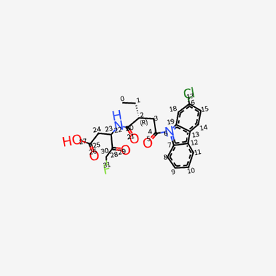 CC[C@H](CC(=O)n1c2ccccc2c2ccc(Cl)cc21)C(=O)NC(CC(=O)O)C(=O)CF